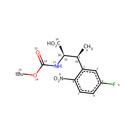 C[C@@H](c1cc(F)ccc1[N+](=O)[O-])[C@@H](NC(=O)OC(C)(C)C)C(=O)O